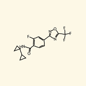 O=C(NC1(C2CC2)CC1)c1ccc(-c2noc(C(F)(F)F)n2)cc1F